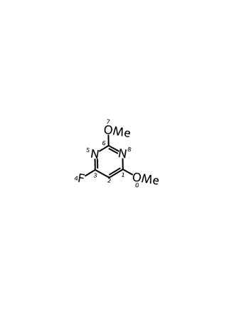 COc1cc(F)nc(OC)n1